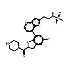 CS(=O)(=O)NCCc1cc2nccc(-c3cc(Cl)cc4c3OC(C(=O)N3CCNCC3)C4)c2s1